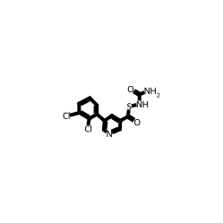 NC(=O)NSC(=O)c1cncc(-c2cccc(Cl)c2Cl)c1